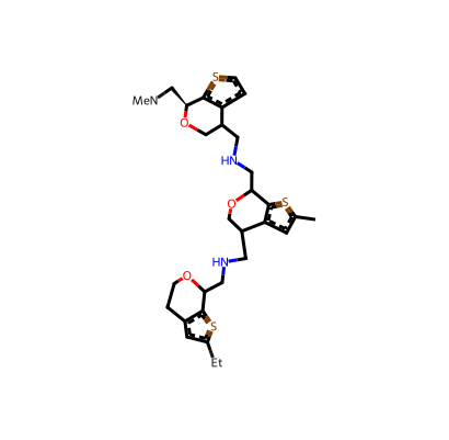 CCc1cc2c(s1)C(CNCC1COC(CNCC3CO[C@@H](CNC)c4sccc43)c3sc(C)cc31)OCC2